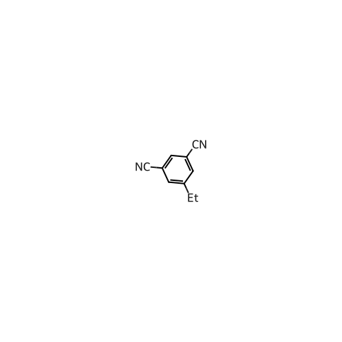 CCc1cc(C#N)cc(C#N)c1